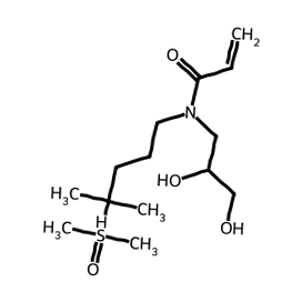 C=CC(=O)N(CCCC(C)(C)[SH](C)(C)=O)CC(O)CO